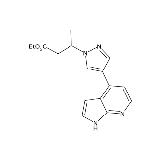 CCOC(=O)CC(C)n1cc(-c2ccnc3[nH]ccc23)cn1